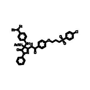 CCN(CC)c1ccc(NC2(NC(C)=O)C(=O)N(c3ccccc3)N=C2NC(=O)c2ccc(OCCCS(=O)(=O)c3ccc(Cl)cc3)cc2)cc1